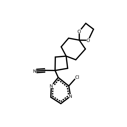 N#CC1(c2nccnc2Cl)CC2(CCC3(CC2)OCCO3)C1